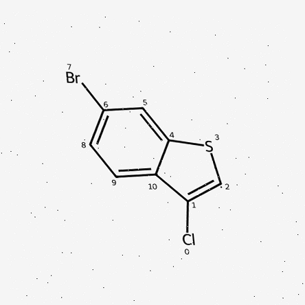 Clc1[c]sc2cc(Br)ccc12